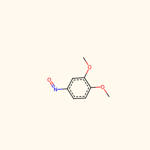 COc1ccc(N=O)cc1OC